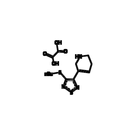 CCCCSc1nsnc1C1=CCCNC1.O=C(O)C(=O)O